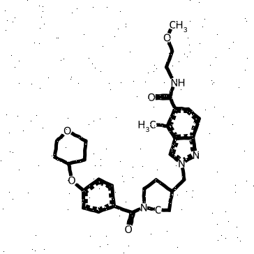 COCCNC(=O)c1ccc2nn(CC3CCN(C(=O)c4ccc(OC5CCOCC5)cc4)CC3)cc2c1C